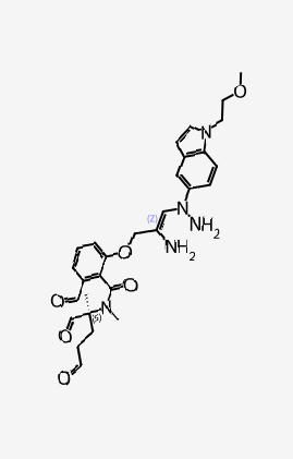 COCCn1ccc2cc(N(N)/C=C(\N)COc3cccc(C=O)c3C(=O)N(C)[C@](C)(C=O)CCC=O)ccc21